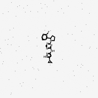 Fc1ccccc1C1CCCN1c1ncnc(Nc2cc(C3CC3)[nH]n2)n1